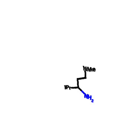 CNCCC(N)C(C)C